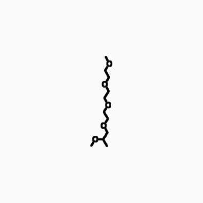 COCCOCCOCCOCC(C)OC